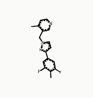 Cc1ccncc1Cn1ccc(-c2cc(F)c(C)c(F)c2)n1